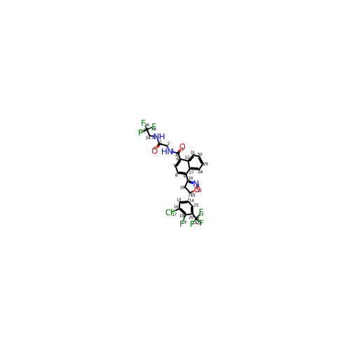 O=C(CNC(=O)c1ccc(C2=NO[C@H](c3cc(Cl)c(F)c(C(F)(F)F)c3)C2)c2ccccc12)NCC(F)(F)F